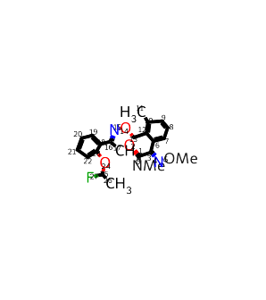 CNC(=O)/C(=N/OC)c1cccc(C)c1CO/N=C(\C)c1ccccc1OC(C)F